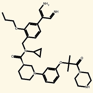 CCCOc1cc(/C(C=N)=C/N)ccc1CN(C(=O)[C@@H]1CCCN(c2cccc(OC(C)(C)C(=O)N3CCNCC3)c2)C1)C1CC1